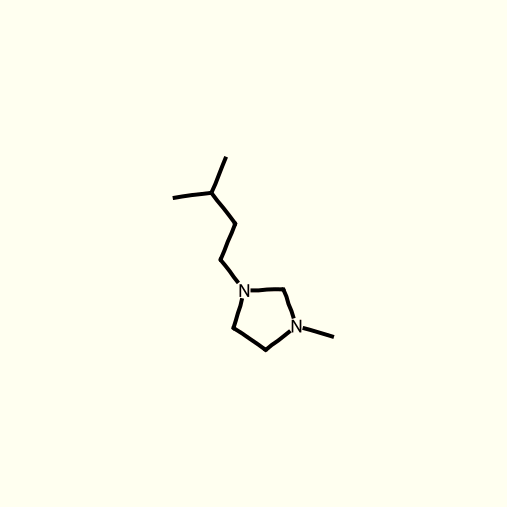 CC(C)CCN1CCN(C)C1